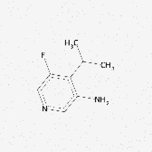 CC(C)c1c(N)cncc1F